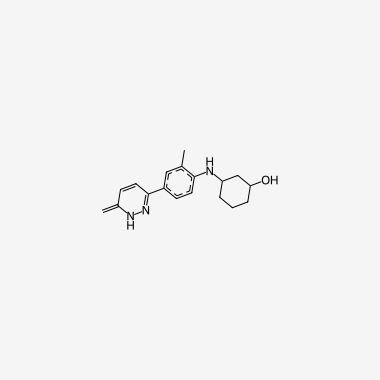 C=C1C=CC(c2ccc(NC3CCCC(O)C3)c(C)c2)=NN1